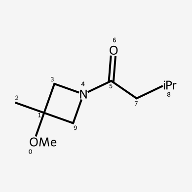 COC1(C)CN(C(=O)CC(C)C)C1